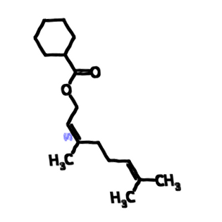 CC(C)=CCC/C(C)=C\COC(=O)C1CCCCC1